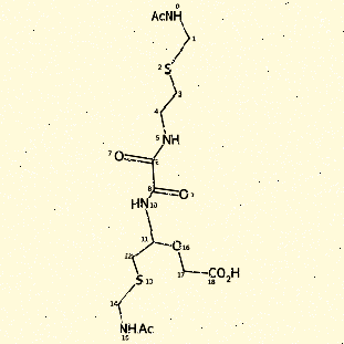 CC(=O)NCSCCNC(=O)C(=O)NC(CSCNC(C)=O)OCC(=O)O